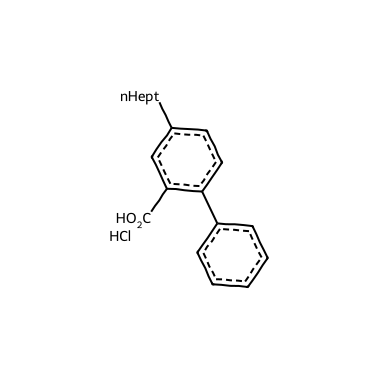 CCCCCCCc1ccc(-c2ccccc2)c(C(=O)O)c1.Cl